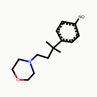 CC(C)(CCN1CCOCC1)c1ccc(N=O)cc1